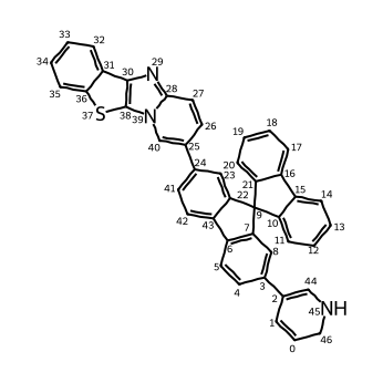 C1=CC(c2ccc3c(c2)C2(c4ccccc4-c4ccccc42)c2cc(-c4ccc5nc6c7ccccc7sc6n5c4)ccc2-3)=CNC1